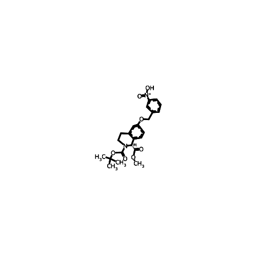 COC(=O)[C@H]1c2ccc(OCc3cccc([N+](=O)O)c3)cc2CCN1C(=O)OC(C)(C)C